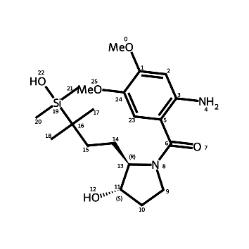 COc1cc(N)c(C(=O)N2CC[C@H](O)[C@H]2CCC(C)(C)[Si](C)(C)O)cc1OC